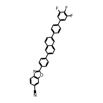 N#Cc1ccc2nc(-c3ccc(-c4ccc5cc(-c6ccc(-c7cc(F)c(F)c(F)c7)cc6)ccc5c4)cc3)oc2c1